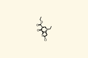 CCOC(=O)c1cn(CC)c2cc(Cl)sc2c1=O